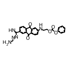 N=C(N=NCN)c1ccc2c(c1)C(=O)c1ccc(NCCOC(=O)Oc3ccccc3)cc1C2=O